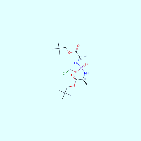 C[C@H](NP(=O)(N[C@@H](C)C(=O)OCC(C)(C)C)OCCl)C(=O)OCC(C)(C)C